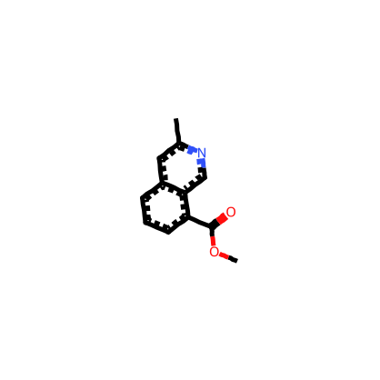 COC(=O)c1cccc2cc(C)ncc12